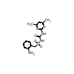 Cc1cc(C)nc(NC(=O)NS(=O)(=O)Cc2ccccc2[N+](=O)[O-])n1